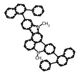 CN1c2cc(-c3c(-c4ccccc4)ccc4ccccc34)ccc2-c2cc3c(c4cccc1c24)c1ccc(-c2c(-c4ccccc4)ccc4ccccc24)cc1n3C